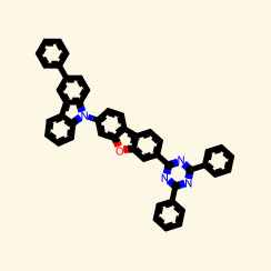 c1ccc(-c2ccc3c(c2)c2ccccc2n3-c2ccc3c(c2)oc2cc(-c4nc(-c5ccccc5)nc(-c5ccccc5)n4)ccc23)cc1